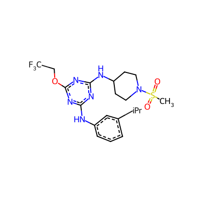 CC(C)c1cccc(Nc2nc(NC3CCN(S(C)(=O)=O)CC3)nc(OCC(F)(F)F)n2)c1